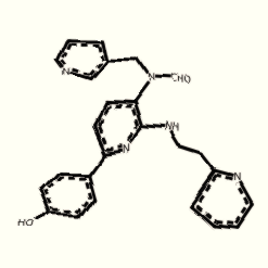 O=CN(Cc1cccnc1)c1ccc(-c2ccc(O)cc2)nc1NCCc1ccccn1